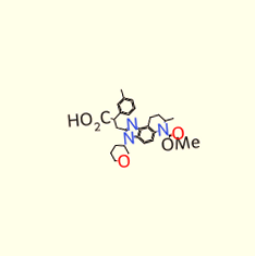 COC(=O)N1c2ccc3c(nc(CC(C(=O)O)c4cccc(C)c4)n3C3CCCOC3)c2CCC1C